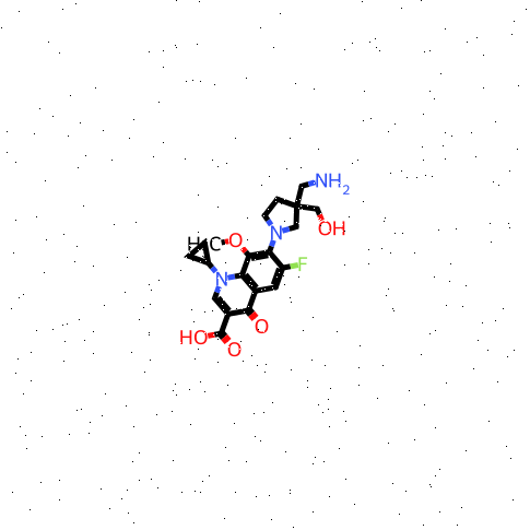 COc1c(N2CCC(CN)(CO)C2)c(F)cc2c(=O)c(C(=O)O)cn(C3CC3)c12